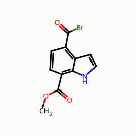 COC(=O)c1ccc(C(=O)Br)c2cc[nH]c12